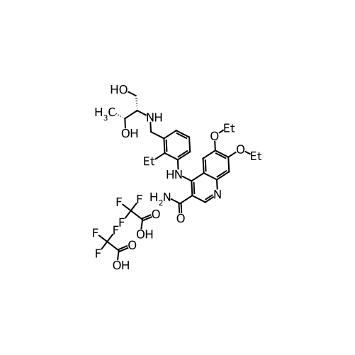 CCOc1cc2ncc(C(N)=O)c(Nc3cccc(CN[C@@H](CO)[C@@H](C)O)c3CC)c2cc1OCC.O=C(O)C(F)(F)F.O=C(O)C(F)(F)F